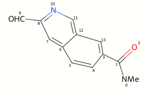 CNC(=O)c1ccc2cc(C=O)ncc2c1